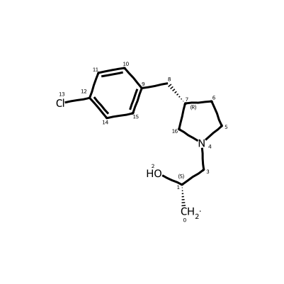 [CH2][C@H](O)CN1CC[C@@H](Cc2ccc(Cl)cc2)C1